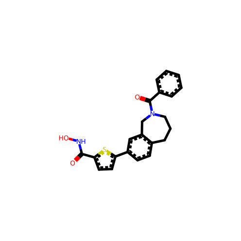 O=C(NO)c1ccc(-c2ccc3c(c2)CN(C(=O)c2ccccc2)CCC3)s1